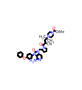 COC(=O)N1CCN(C(C)(C)/C=C(\C#N)C(=O)N2CCCC2Cn2c(=O)n(-c3ccc(Oc4ccccc4)cc3)c3c(N)nccc32)CC1